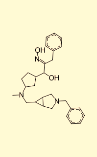 CN(CC1C2CN(Cc3ccccc3)CC21)C1CCC(C(O)C(Cc2ccccc2)=NO)C1